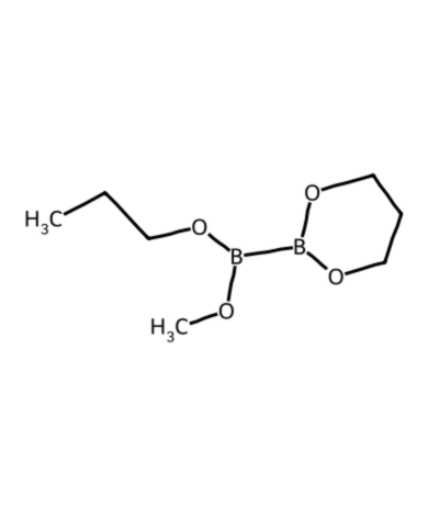 CCCOB(OC)B1OCCCO1